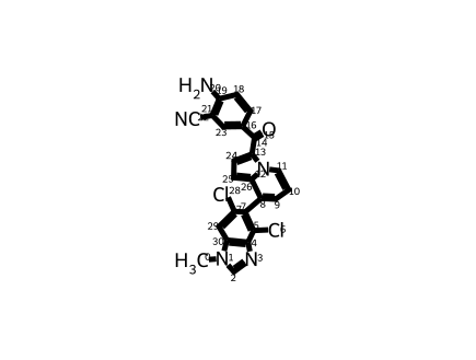 Cn1cnc2c(Cl)c(-c3cccn4c(C(=O)c5ccc(N)c(C#N)c5)ccc34)c(Cl)cc21